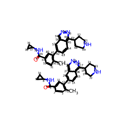 Cc1ccc(C(=O)NC2CC2)cc1-c1ccc2c(C3CCNCC3)nncc2c1.Cc1ccc(C(=O)NC2CC2)cc1-c1ccc2c(C3CCNCC3)nncc2c1